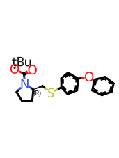 CC(C)(C)OC(=O)N1CCC[C@@H]1CSc1ccc(Oc2ccccc2)cc1